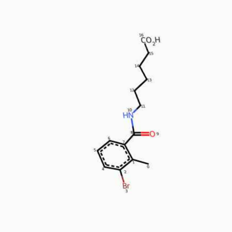 Cc1c(Br)cccc1C(=O)NCCCCCC(=O)O